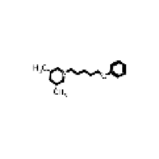 C[C@@H]1C[C@@H](C)CN(CCCCCOc2ccccc2)C1